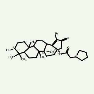 CC(C)C1=C2C3CCC4C5(C)CC[C@H](O)C(C)(C)C5CCC4(C)[C@]3(C)CC[C@@]2(NC(=O)CN2CCCC2)CC1=O